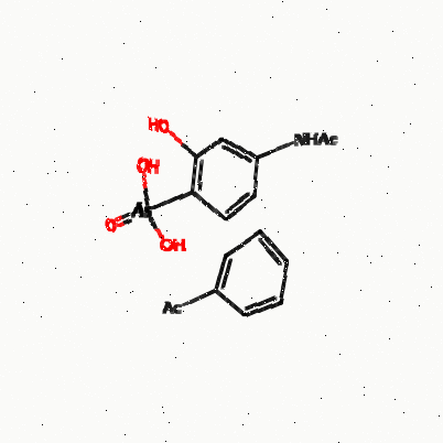 CC(=O)Nc1ccc([As](=O)(O)O)c(O)c1.CC(=O)c1ccccc1